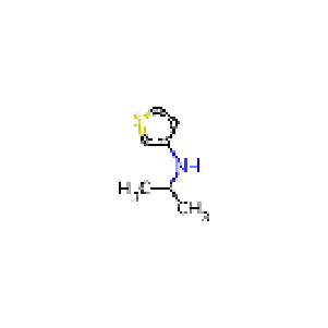 CC(C)Nc1ccsc1